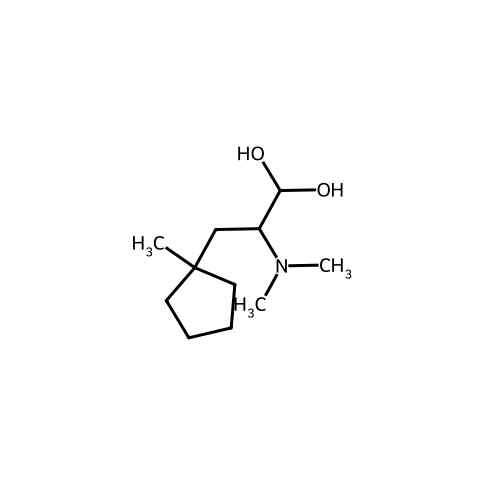 CN(C)C(CC1(C)CCCC1)C(O)O